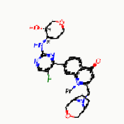 CC(C)n1c(CN2C3CCC2COC3)cc(=O)c2ccc(-c3nc(N[C@@H]4CCOC[C@H]4O)ncc3F)cc21